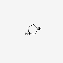 C1CNCN1